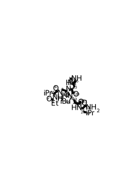 CCC(=O)N[C@H](C(=O)NCC(=O)N[C@@H](Cc1c[nH]cn1)C(=O)N[C@H](CCC(=O)N[C@@H](CC(C)C)C(N)=O)[C@@H](C)CC)C(C)C